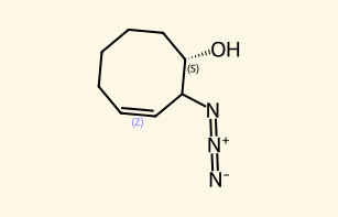 [N-]=[N+]=NC1/C=C\CCCC[C@@H]1O